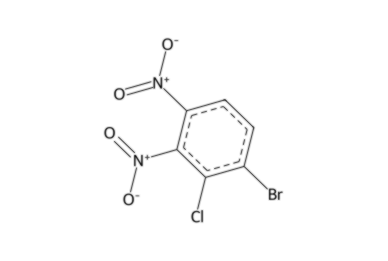 O=[N+]([O-])c1ccc(Br)c(Cl)c1[N+](=O)[O-]